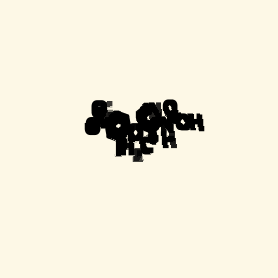 C=Cc1c(Oc2ccc([N+](=O)[O-])cc2F)ccnc1NC(=O)O